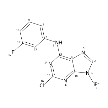 CC(C)n1cnc2c(Nc3cccc(F)c3)nc(Cl)nc21